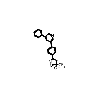 OC1(C(F)(F)F)CC(c2ccc(-c3cncc(-c4ccccc4)c3)cc2)=NO1